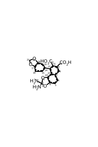 NC1(N)Oc2ccc3cc(C(=O)O)c(C(=O)O)c(-c4ccc5c(c4)OCO5)c3c2O1